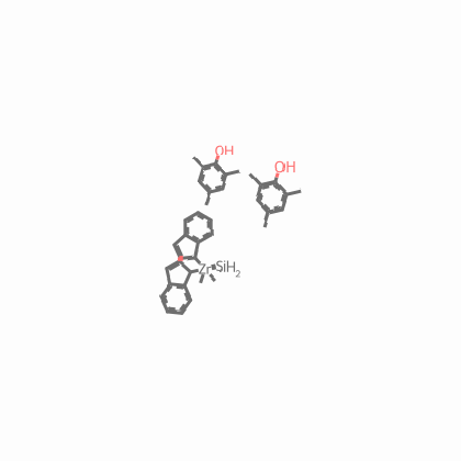 Cc1cc(C)c(O)c(C)c1.Cc1cc(C)c(O)c(C)c1.[CH3][Zr]([CH3])(=[SiH2])([CH]1C=Cc2ccccc21)[CH]1C=Cc2ccccc21